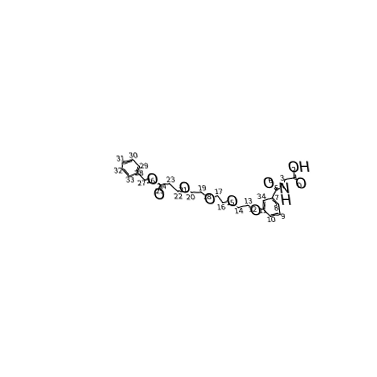 O=C(O)CNC(=O)c1cccc(OCCOCCOCCOCCC(=O)OCc2ccccc2)c1